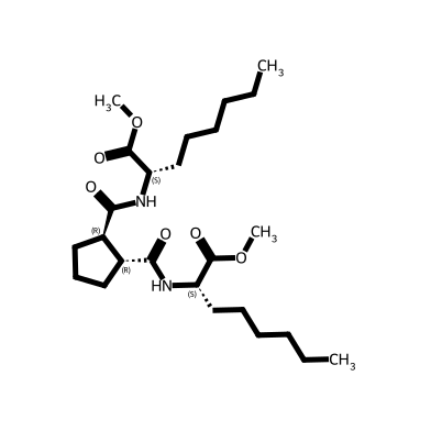 CCCCCC[C@H](NC(=O)[C@@H]1CCC[C@H]1C(=O)N[C@@H](CCCCCC)C(=O)OC)C(=O)OC